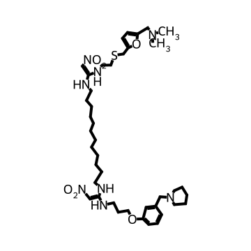 CN(C)Cc1ccc(CSCCNC(=C[N+](=O)[O-])NCCCCCCCCCCCCNC(=C[N+](=O)[O-])NCCCOc2cccc(CN3CCCCC3)c2)o1